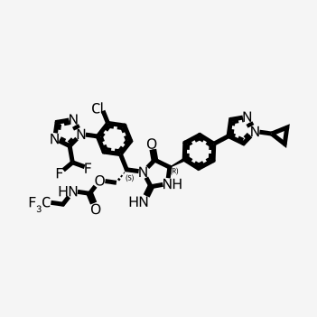 N=C1N[C@H](c2ccc(-c3cnn(C4CC4)c3)cc2)C(=O)N1[C@H](COC(=O)NCC(F)(F)F)c1ccc(Cl)c(-n2ncnc2C(F)F)c1